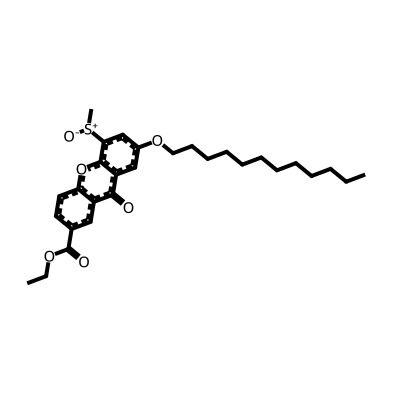 CCCCCCCCCCCCOc1cc([S+](C)[O-])c2oc3ccc(C(=O)OCC)cc3c(=O)c2c1